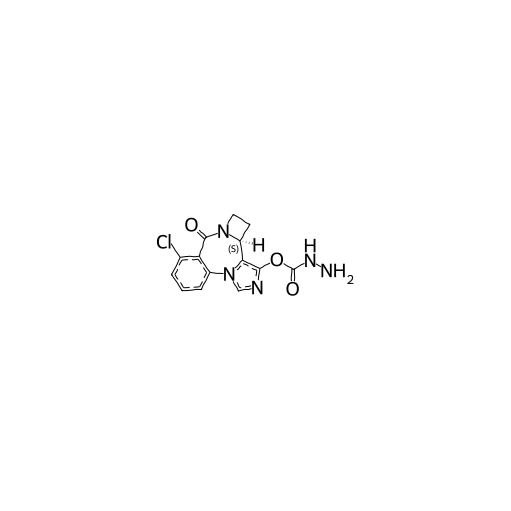 NNC(=O)Oc1ncn2c1[C@@H]1CCN1C(=O)c1c(Cl)cccc1-2